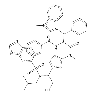 CC(C)CN(C(CO)c1ccc(N(C)C(=O)C(NC(=O)c2ccccc2)C(c2ccccc2)c2cn(C)c3ccccc23)s1)S(=O)(=O)c1ccc2ncsc2c1